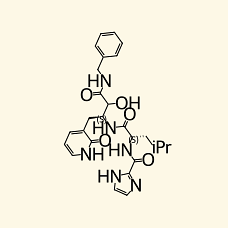 CC(C)C[C@H](NC(=O)c1ncc[nH]1)C(=O)N[C@@H](Cc1ccc[nH]c1=O)C(O)C(=O)NCc1ccccc1